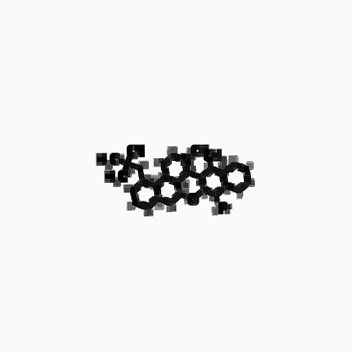 Cc1c2c(c(C(C)C)c3ccccc13)Oc1cc3cccc(CC(C)(C)C#N)c3c3cc[n+](C)c-2c13